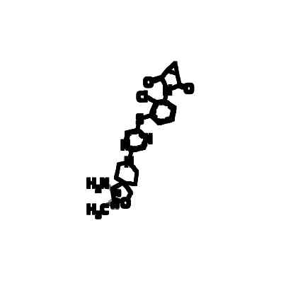 C[C@H]1OCC2(CCN(c3cnc(Sc4cccc(N5C(=O)C6CC6C5=O)c4Cl)cn3)CC2)[C@H]1N